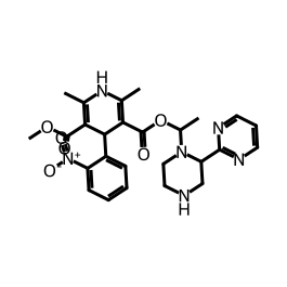 COC(=O)C1=C(C)NC(C)=C(C(=O)OC(C)N2CCNCC2c2ncccn2)C1c1ccccc1[N+](=O)[O-]